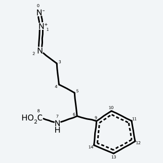 [N-]=[N+]=NCCCC(NC(=O)O)c1ccccc1